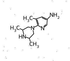 Cc1cc(N)cnc1N1CC(C)NC(C)C1